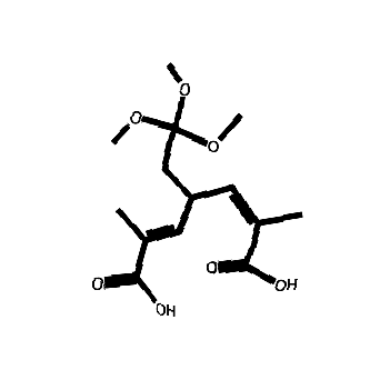 COC(CC(C=C(C)C(=O)O)C=C(C)C(=O)O)(OC)OC